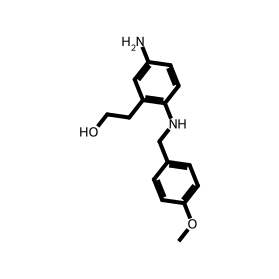 COc1ccc(CNc2ccc(N)cc2CCO)cc1